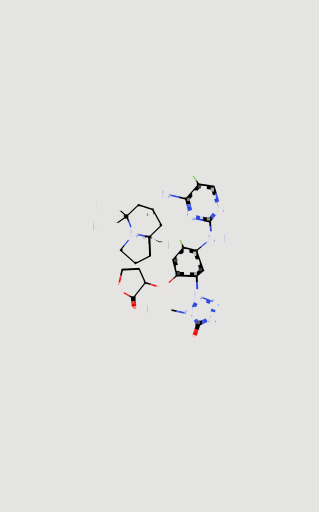 Cn1c(=O)nnn1-c1cc(Nc2ncc(F)c(N[C@@H]3C[C@@H]4CCCN4C(C)(C)C3)n2)c(F)cc1OC1CCOC1=O